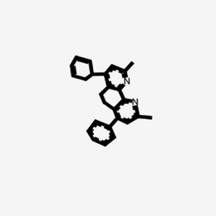 Cc1cc(-c2ccccc2)c2c(n1)-c1nc(C)cc(C3C=CC=CC3)c1CC2